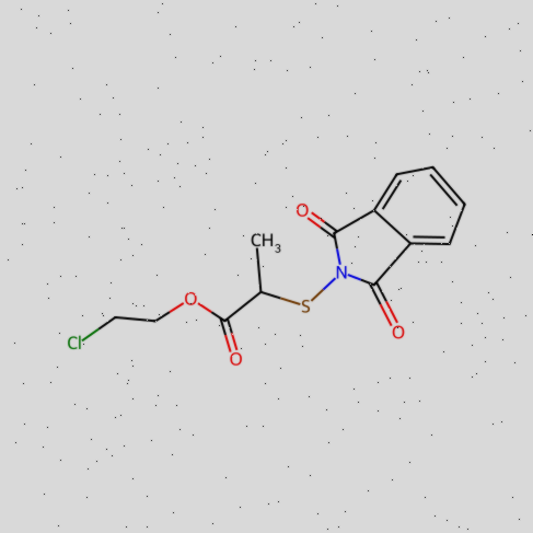 CC(SN1C(=O)c2ccccc2C1=O)C(=O)OCCCl